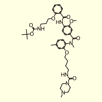 COc1cc(C(=O)N(C)c2ccc(C)cc2OCCCCNC(=O)N2CCN(C)CC2)ccc1NC(=O)c1ccccc1OCCCNC(=O)OC(C)(C)C